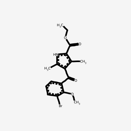 CCOC(=O)c1[nH]c(C)c(C(=O)c2cccc(Br)c2OC)c1C